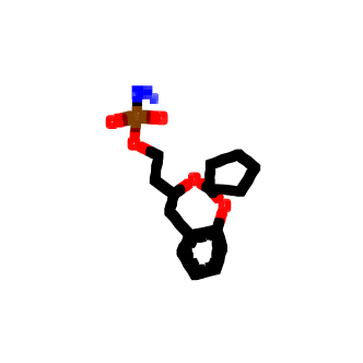 NS(=O)(=O)OCCC1Cc2ccccc2OC2(CCCC2)O1